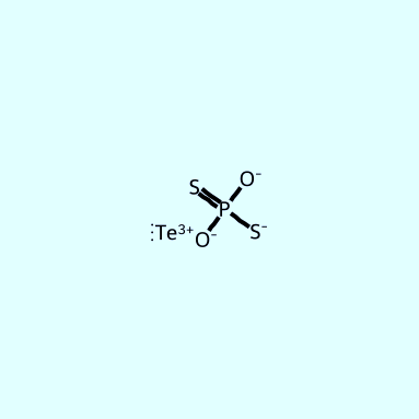 [O-]P([O-])(=S)[S-].[Te+3]